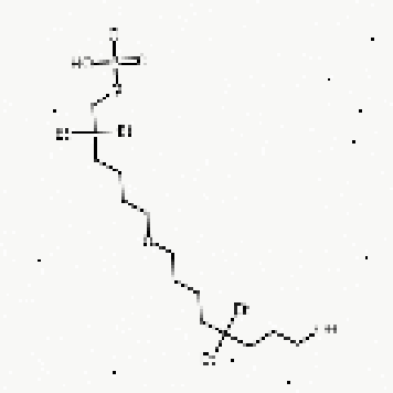 CCC(CC)(CCCO)CCCCOCCCCC(CC)(CC)COP(=O)(O)O